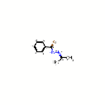 CC(C)=NNC(=S)c1ccccc1